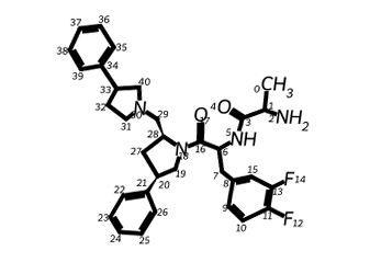 CC(N)C(=O)NC(Cc1ccc(F)c(F)c1)C(=O)N1C[C@@H](c2ccccc2)C[C@H]1CN1CCC(c2ccccc2)C1